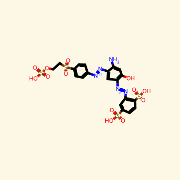 Nc1cc(O)c(/N=N/c2cc(S(=O)(=O)O)ccc2S(=O)(=O)O)cc1/N=N/c1ccc(S(=O)(=O)CCOS(=O)(=O)O)cc1